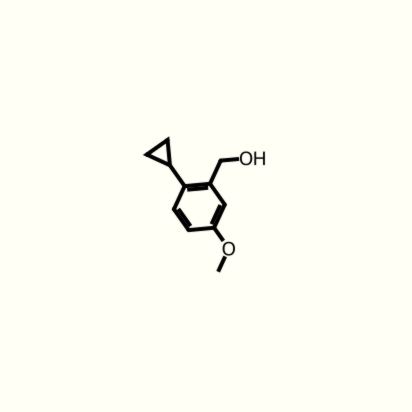 COc1ccc(C2CC2)c(CO)c1